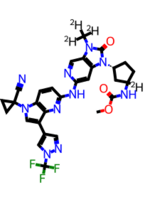 [2H]C1(NC(=O)OC)CC[C@@H](n2c(=O)n(C([2H])([2H])[2H])c3cnc(Nc4ccc5c(n4)c(-c4cnn(C(F)(F)F)c4)cn5C4(C#N)CC4)cc32)C1